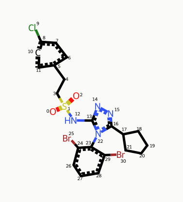 O=S(=O)(CCc1ccc(Cl)cc1)Nc1nnc(C2CCCC2)n1-c1c(Br)cccc1Br